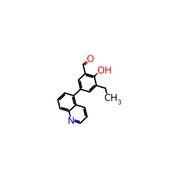 CCc1cc(-c2cccc3ncccc23)cc(C=O)c1O